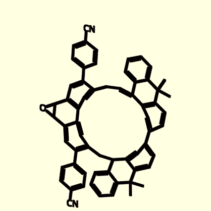 CC1(C)c2ccccc2/C2=C/Cc3cc4c(cc3-c3ccc(C#N)cc3)C3OC3c3cc(-c5ccc(C#N)cc5)c(cc3-4)CC3c4ccccc4C(C)(C)c4ccc(cc43)-c3ccc1c2c3